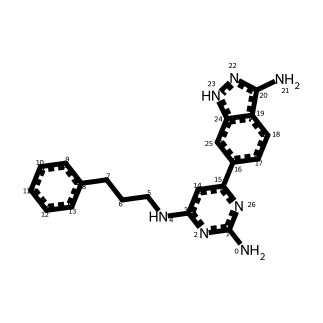 Nc1nc(NCCCc2ccccc2)cc(-c2ccc3c(N)n[nH]c3c2)n1